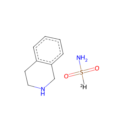 [2H]S(N)(=O)=O.c1ccc2c(c1)CCNC2